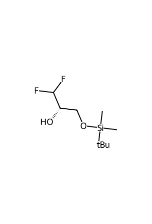 CC(C)(C)[Si](C)(C)OC[C@H](O)C(F)F